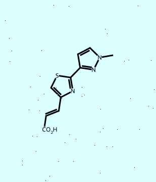 Cn1ccc(-c2nc(/C=C/C(=O)O)cs2)n1